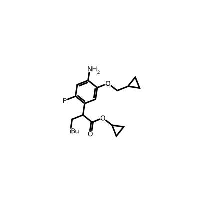 CCC(C)CC(C(=O)OC1CC1)c1cc(OCC2CC2)c(N)cc1F